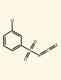 O=S(=O)(N=C=S)c1cccc(Cl)c1